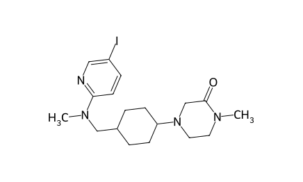 CN1CCN(C2CCC(CN(C)c3ccc(I)cn3)CC2)CC1=O